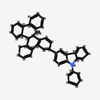 CC1c2ccc(-c3ccc4c(c3)c3ccccc3n4-c3ccccc3)cc2C2=C(CCC=C2)C1c1ccccc1-c1ccccc1